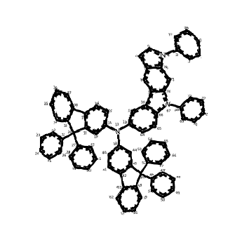 c1ccc(-n2ccc3cc4c5cc(N(c6ccc7c(c6)C(c6ccccc6)(c6ccccc6)c6ccccc6-7)c6ccc7c(c6)C(c6ccccc6)(c6ccccc6)c6ccccc6-7)ccc5n(-c5ccccc5)c4cc32)cc1